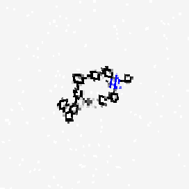 N#Cc1ccc(-c2cccc(-c3nc(-c4ccccc4)nc(-c4cccc(-c5ccc(-c6cccc(-c7ccc(-c8ccc9cccc%10c9c8-c8ccccc8-%10)cc7)c6)cc5C#N)c4)n3)c2)cc1